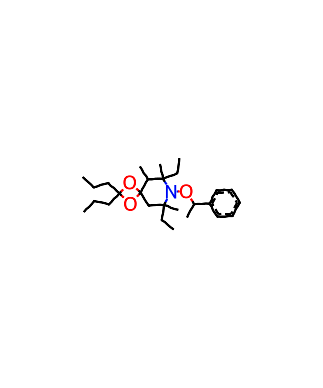 CCCC1(CCC)OC2(CC(C)(CC)N(OC(C)c3ccccc3)C(C)(CC)C2C)O1